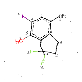 CCCc1cc(I)c(O)c2c1CCC2(F)F